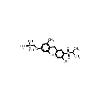 C=P(O)(O)COc1cc(C)c(Cc2ccc(O)c(S(=O)(=O)C(C)C)c2)c(C)c1